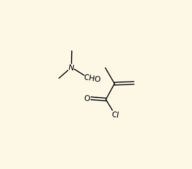 C=C(C)C(=O)Cl.CN(C)C=O